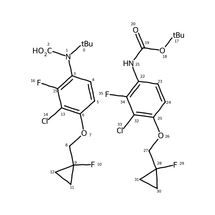 CC(C)(C)N(C(=O)O)c1ccc(OCC2(F)CC2)c(Cl)c1F.CC(C)(C)OC(=O)Nc1ccc(OCC2(F)CC2)c(Cl)c1F